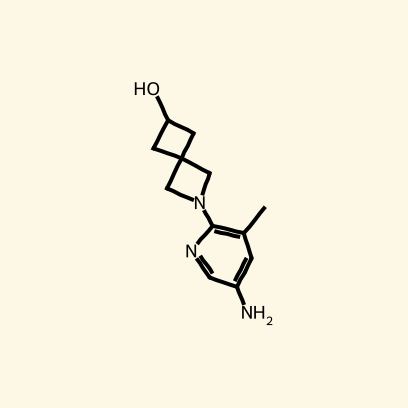 Cc1cc(N)cnc1N1CC2(CC(O)C2)C1